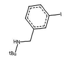 CC(C)(C)NCc1cccc(I)c1